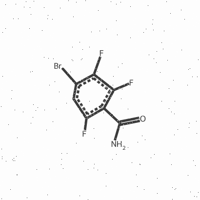 NC(=O)c1c(F)cc(Br)c(F)c1F